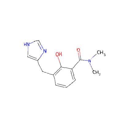 CN(C)C(=O)c1cccc(Cc2c[nH]cn2)c1O